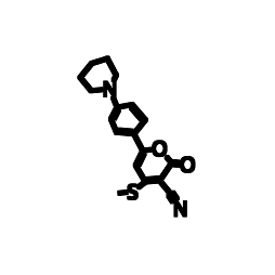 CSc1cc(-c2ccc(N3CCCCC3)cc2)oc(=O)c1C#N